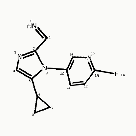 N=Cc1ncc(C2CC2)n1-c1ccc(F)nc1